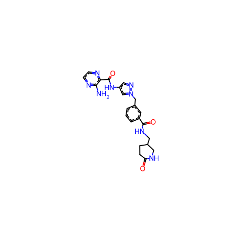 Nc1nccnc1C(=O)Nc1cnn(Cc2cccc(C(=O)NCC3CCC(=O)NC3)c2)c1